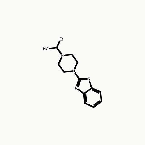 CCC(O)N1CCN(c2nc3ccccc3s2)CC1